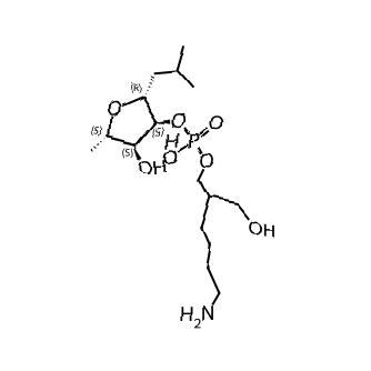 CC(C)C[C@H]1O[C@@H](C)[C@H](O)[C@@H]1OP(=O)(O)OCC(CO)CCCCN